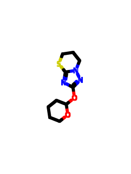 C1CCC(Oc2nc3n(n2)CCCS3)OC1